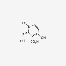 CCn1ccc(O)c(C(=O)O)c1=O.Cl